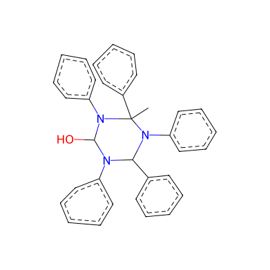 CC1(c2ccccc2)N(c2ccccc2)C(O)N(c2ccccc2)C(c2ccccc2)N1c1ccccc1